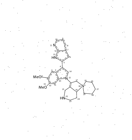 COc1cc2c(-c3cc4cccnc4[nH]3)cn(CC[N+]3(C4CCNCC4)CCCCC3)c2cc1OC